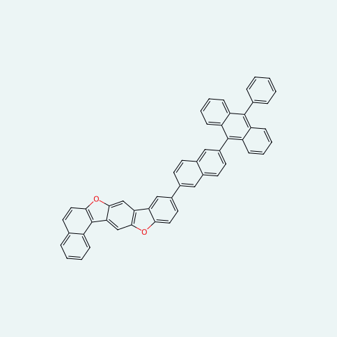 c1ccc(-c2c3ccccc3c(-c3ccc4cc(-c5ccc6oc7cc8c(cc7c6c5)oc5ccc6ccccc6c58)ccc4c3)c3ccccc23)cc1